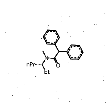 CCC[C@@H](CC)N(C)C(=O)C(c1ccccc1)c1ccccc1